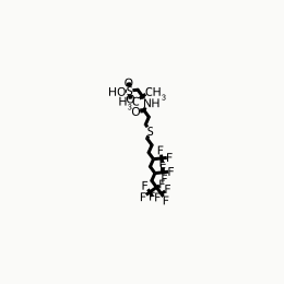 CC(C)(CS(=O)(=O)O)NC(=O)CCSCCCC(CC(CC(F)(C(F)(F)F)C(F)(F)F)C(F)(F)F)C(F)(F)F